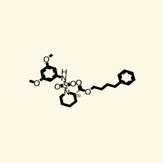 COc1cc(NS(=O)(=O)N2CCCC[C@H]2C(=O)OCCCCc2ccccc2)cc(OC)c1